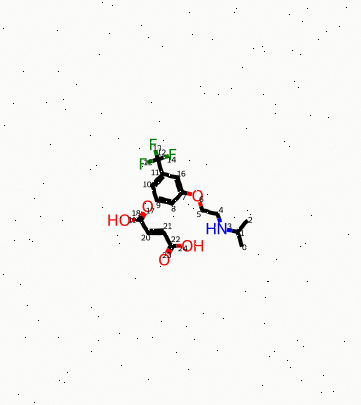 CC(C)NCCOc1cccc(C(F)(F)F)c1.O=C(O)C=CC(=O)O